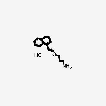 Cl.NCCCON=Cc1cccc2ccccc12